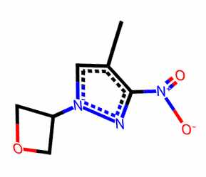 Cc1cn(C2COC2)nc1[N+](=O)[O-]